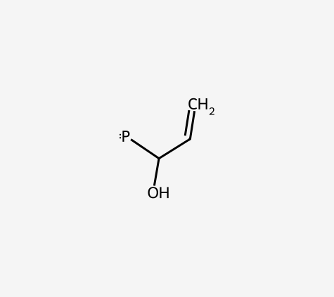 C=CC(O)[P]